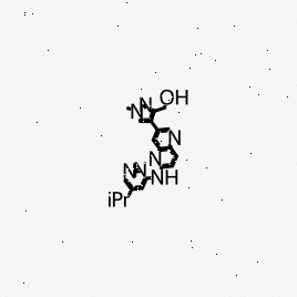 CC(C)c1cnnc(Nc2ccc3ncc(-c4cn(C)nc4CO)cc3n2)c1